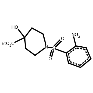 CCOC(=O)C1(O)CCN(S(=O)(=O)c2ccccc2[N+](=O)[O-])CC1